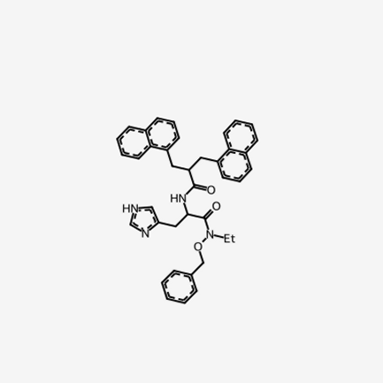 CCN(OCc1ccccc1)C(=O)C(Cc1c[nH]cn1)NC(=O)C(Cc1cccc2ccccc12)Cc1cccc2ccccc12